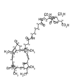 C=CC1=C(C)c2cc3[nH]c(c4c5nc(cc6[nH]c(cc1n2)c(C)c6CC)C(C)=C5C(=O)C4)C(CCC(=O)NCCCCCC(=O)N[C@@H](COP(=O)(O)N[C@@H](CCC(=O)O)C(=O)O)C(=O)O)[C@@H]3C